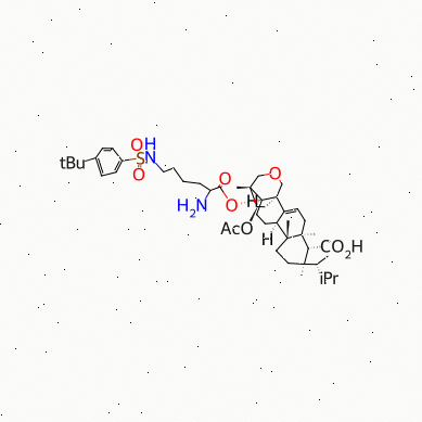 CC(=O)O[C@@H]1C[C@@]23COC[C@](C)([C@@H]2CC[C@H]2C3=CC[C@@]3(C)[C@H](C(=O)O)[C@@](C)([C@H](C)C(C)C)CC[C@]23C)[C@H]1OC(=O)C(N)CCCCNS(=O)(=O)c1ccc(C(C)(C)C)cc1